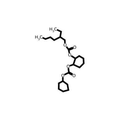 CCCCC(CC)COC(=O)OC1CCCCC1OC(=O)OC1CCCCC1